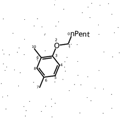 CCCCCCOc1ccc(C)cc1C